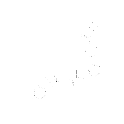 COc1cc(C)c(S(=O)(=O)N(C)CCC(=O)NCc2cccc(N3CCN(C(=O)OC(C)(C)C)CC3)c2)c(C)c1